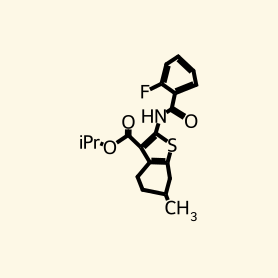 CC1CCc2c(sc(NC(=O)c3ccccc3F)c2C(=O)OC(C)C)C1